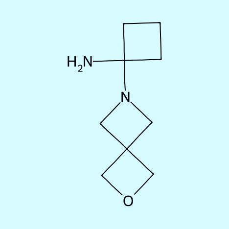 NC1(N2CC3(COC3)C2)CCC1